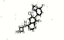 Fc1c(-c2ccc(F)c3scnc23)c(Cl)cc2c(NC3CNC3)ncnc12